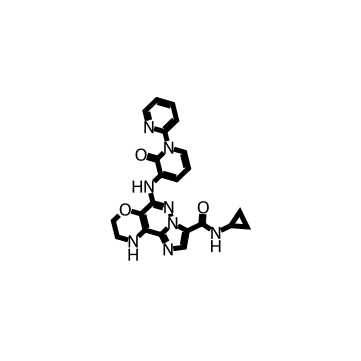 O=C(NC1CC1)c1cnc2c3c(c(Nc4cccn(-c5ccccn5)c4=O)nn12)OCCN3